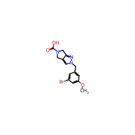 COc1cc(Br)cc(Cn2cc3c(n2)CN(C(=O)O)C3)c1